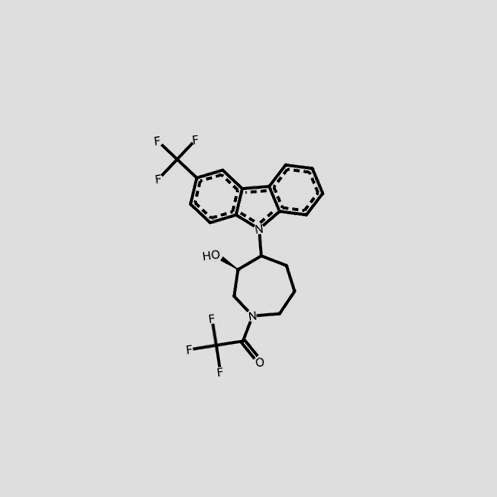 O=C(N1CCCC(n2c3ccccc3c3cc(C(F)(F)F)ccc32)[C@H](O)C1)C(F)(F)F